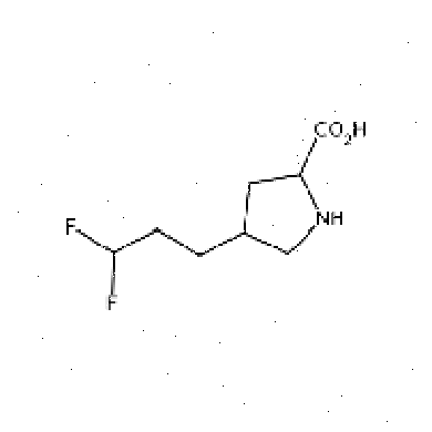 O=C(O)C1CC(CCC(F)F)CN1